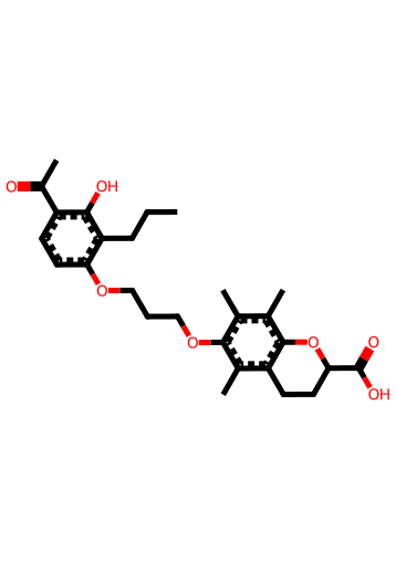 CCCc1c(OCCCOc2c(C)c(C)c3c(c2C)CCC(C(=O)O)O3)ccc(C(C)=O)c1O